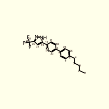 CCCCCc1ccc(-c2ccc(-c3cc(C(F)(F)F)n[nH]3)nc2)cc1